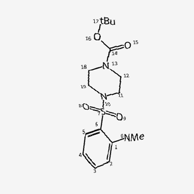 CNc1ccccc1S(=O)(=O)N1CCN(C(=O)OC(C)(C)C)CC1